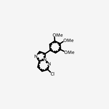 COc1cc(-c2cnc3ccc(Cl)nn23)cc(OC)c1OC